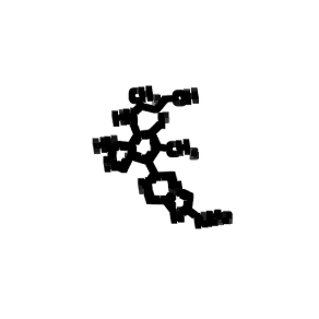 CNc1cn2cc(-c3c(C)c(F)c(NC(C)CCO)c4[nH]ncc34)ncc2n1